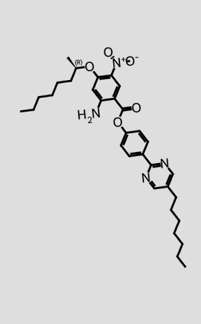 CCCCCCCc1cnc(-c2ccc(OC(=O)c3cc([N+](=O)[O-])c(O[C@H](C)CCCCCC)cc3N)cc2)nc1